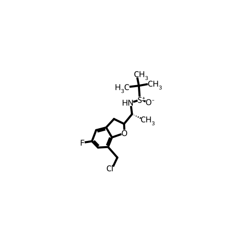 C[C@@H](N[S@+]([O-])C(C)(C)C)C1Cc2cc(F)cc(CCl)c2O1